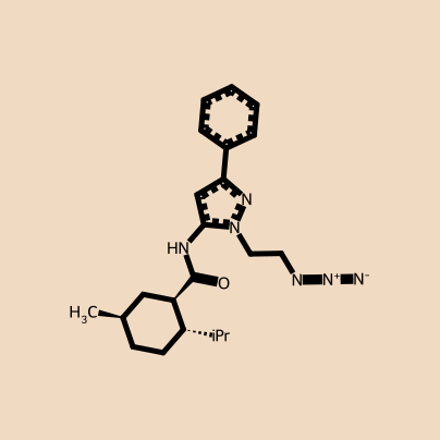 CC(C)[C@@H]1CC[C@@H](C)C[C@H]1C(=O)Nc1cc(-c2ccccc2)nn1CCN=[N+]=[N-]